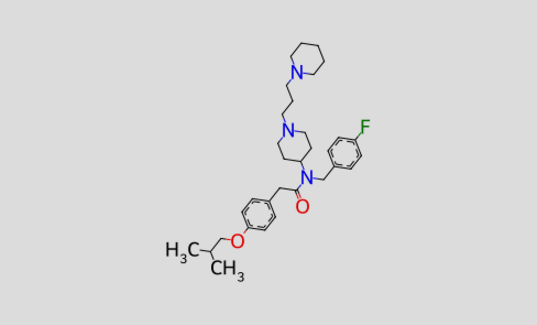 CC(C)COc1ccc(CC(=O)N(Cc2ccc(F)cc2)C2CCN(CCCN3CCCCC3)CC2)cc1